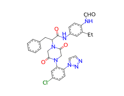 CCc1cc(NC(=O)C(Cc2ccccc2)N2CC(=O)N(c3cc(Cl)ccc3-n3ccnn3)CC2=O)ccc1NC=O